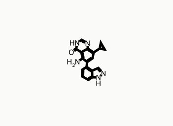 Nc1c(-c2cccc3[nH]ncc23)cc(C2CC2)c2nc[nH]c(=O)c12